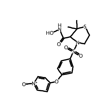 CC1(C)SCCN(S(=O)(=O)c2ccc(Oc3cc[n+]([O-])cc3)cc2)C1C(=O)NO